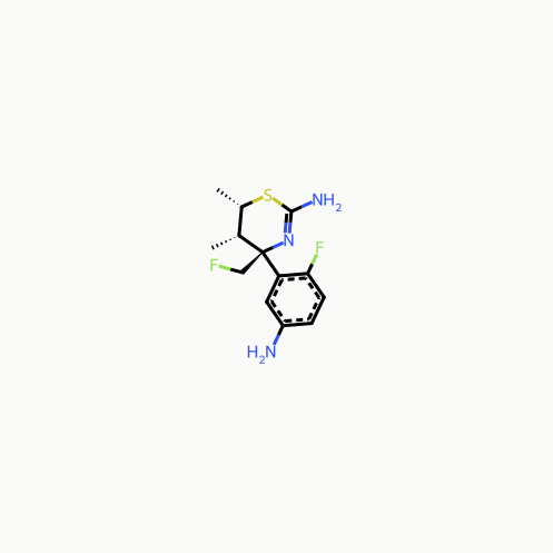 C[C@@H]1SC(N)=N[C@](CF)(c2cc(N)ccc2F)[C@@H]1C